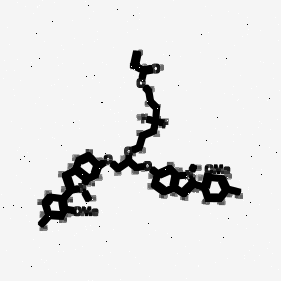 C=CC(=O)OCCCC(F)(F)CCCOC(COc1ccc2cc(-c3ccc(C)cc3OC)n(C)c2c1)COc1ccc2cc(-c3ccc(C)cc3OC)n(C)c2c1